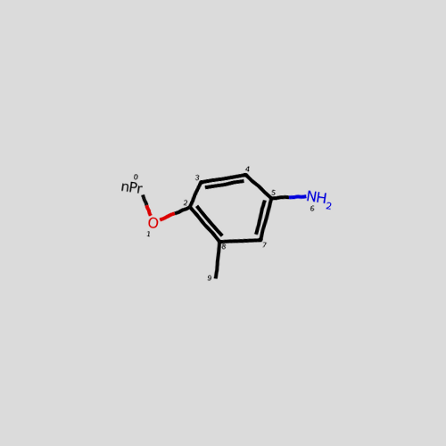 CCCOc1ccc(N)cc1C